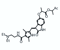 CCN(CC)CCNC(=O)c1c(C)[nH]c(/C=C2\C(=O)Nc3ccc(OC(C)C(=O)OC(C)C(C)=O)cc32)c1C